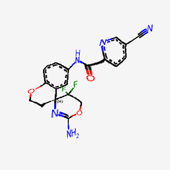 N#Cc1ccc(C(=O)Nc2ccc3c(c2)[C@@]2(CCO3)N=C(N)OCC2(F)F)nc1